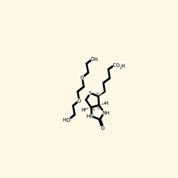 O=C(O)CCCC[C@@H]1SC[C@@H]2NC(=O)N[C@@H]21.OCCOCCOCCO